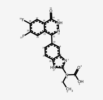 CCN(C(=O)O)c1nc2cc(-c3n[nH]c(=O)c4cc(F)c(F)cc34)ccc2[nH]1